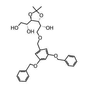 CC1(C)O[C@H]([C@H](O)CO)[C@@H]([C@H](O)COCc2cc(OCc3ccccc3)cc(OCc3ccccc3)c2)O1